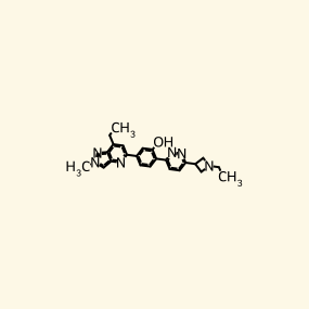 CCc1cc(-c2ccc(-c3ccc(C4CN(CC)C4)nn3)c(O)c2)nc2cn(C)nc12